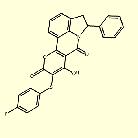 O=c1oc2c(c(O)c1Sc1ccc(F)cc1)c(=O)n1c3c(cccc23)CC1c1ccccc1